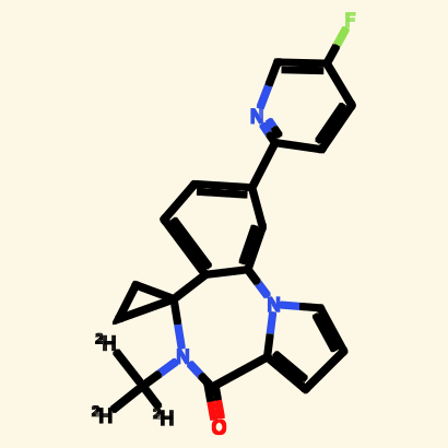 [2H]C([2H])([2H])N1C(=O)c2cccn2-c2cc(-c3ccc(F)cn3)ccc2C12CC2